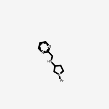 CC(C)N1CCC(NCc2ncccn2)C1